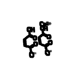 O=C([O-])/C=C\C(=O)O.O=C([O-])/C=C\C(=O)O.[Ca+2]